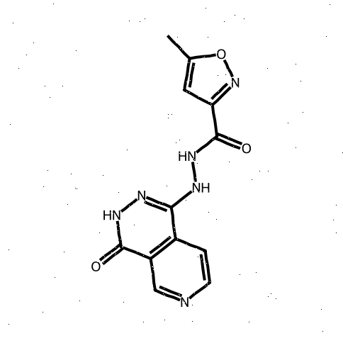 Cc1cc(C(=O)NNc2n[nH]c(=O)c3cnccc23)no1